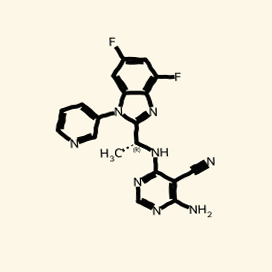 C[C@@H](Nc1ncnc(N)c1C#N)c1nc2c(F)cc(F)cc2n1-c1cccnc1